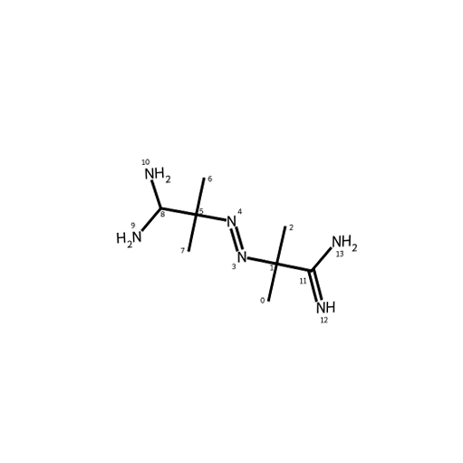 CC(C)(/N=N/C(C)(C)C(N)N)C(=N)N